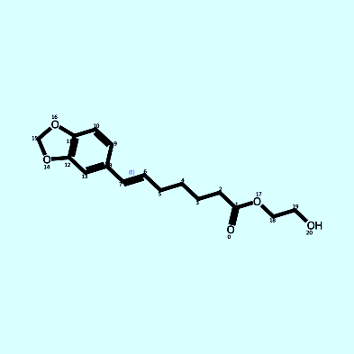 O=C(CCCC/C=C/c1ccc2c(c1)OCO2)OCCO